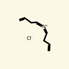 C=CCC=[N+]=CCC=C.[Cl-]